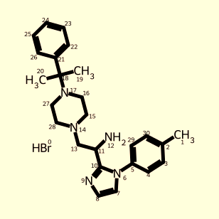 Br.Cc1ccc(-n2ccnc2C(N)CN2CCN(C(C)(C)c3ccccc3)CC2)cc1